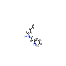 CCCCC(C)NCCc1ccccn1